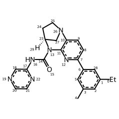 CCc1cc(C)cc(-c2ccc3c(n2)N(C(=O)Nc2cnccn2)[C@H]2CCN3C2)c1